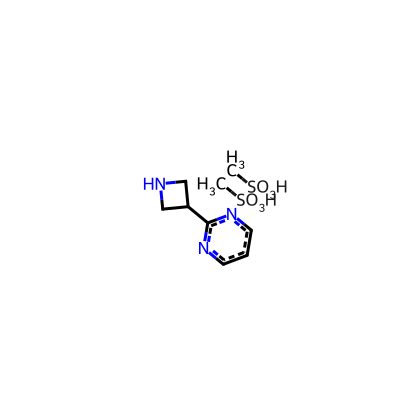 CS(=O)(=O)O.CS(=O)(=O)O.c1cnc(C2CNC2)nc1